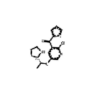 CC(Oc1cnc(Cl)c(C(=O)c2cccs2)c1)[C@@H]1CCCN1